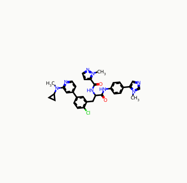 CN(c1cc(-c2ccc(Cl)c(CC(NC(=O)c3ccnn3C)C(=O)Nc3ccc(-c4cncn4C)cc3)c2)ccn1)C1CC1